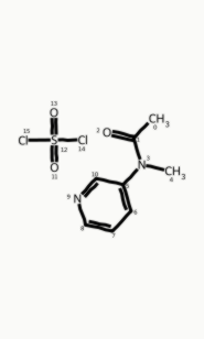 CC(=O)N(C)c1cccnc1.O=S(=O)(Cl)Cl